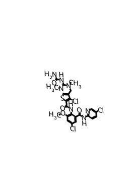 CN=C(NC(N)=O)N(C)Cc1csc(C(=O)Nc2c(OC)cc(Cl)cc2C(=O)Nc2ccc(Cl)cn2)c1Cl